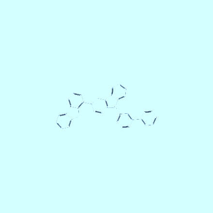 C1=CC(c2cccc3c2oc2ccccc23)Cc2c1n(-c1cccc(-c3ccccc3)c1)c1ccccc21